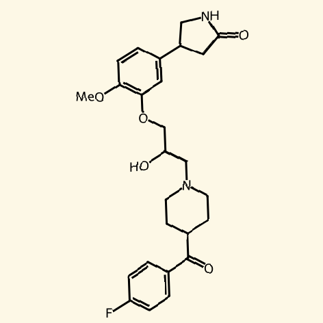 COc1ccc(C2CNC(=O)C2)cc1OCC(O)CN1CCC(C(=O)c2ccc(F)cc2)CC1